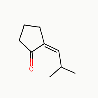 CC(C)/C=C1/CCCC1=O